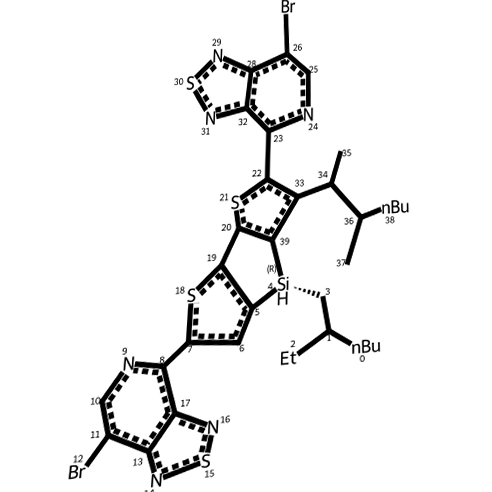 CCCCC(CC)C[Si@@H]1c2cc(-c3ncc(Br)c4nsnc34)sc2-c2sc(-c3ncc(Br)c4nsnc34)c(C(C)C(C)CCCC)c21